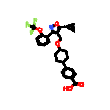 O=C(O)c1ccc(C2CCC(OCc3c(-c4ccccc4OC(F)(F)F)noc3C3CC3)CC2)cc1